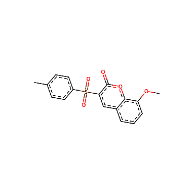 COc1cccc2cc(S(=O)(=O)c3ccc(C)cc3)c(=O)oc12